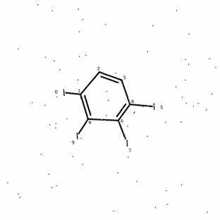 Ic1ccc(I)c(I)c1I